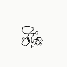 O=C(O[C@H]1CN2CCC1CC2)C1(C2=CCCS2)CCCCCC1